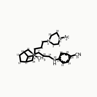 CC(=O)N1CCN(CCCN(C)C2C3CCC2CN(CCCNc2ccc(C#N)cc2)C3)CC1